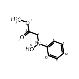 COC(=O)CN(O)c1ccccc1